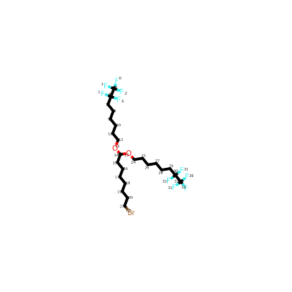 FC(F)(F)C(F)(F)CCCCCCOC(CCCCCCCBr)OCCCCCCC(F)(F)C(F)(F)F